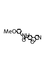 COc1cccc(CNC(=O)c2ccc3c(c2)OCc2cnccc2-3)c1